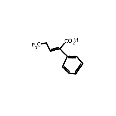 O=C(O)C(=CCC(F)(F)F)c1ccccc1